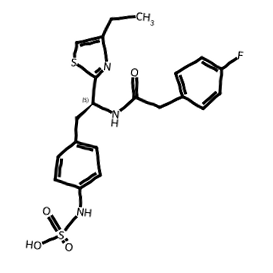 CCc1csc([C@H](Cc2ccc(NS(=O)(=O)O)cc2)NC(=O)Cc2ccc(F)cc2)n1